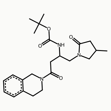 CC1CC(=O)N(CC(CC(=O)N2CCc3ccccc3C2)NC(=O)OC(C)(C)C)C1